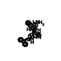 C[C@H](NC(=O)[C@H](Cc1ccccc1)NC(=O)C(C)(C)NC(=O)[C@@H](Cc1c[nH]cn1)NC(=O)OCC1c2ccccc2-c2ccccc21)C(N)=O